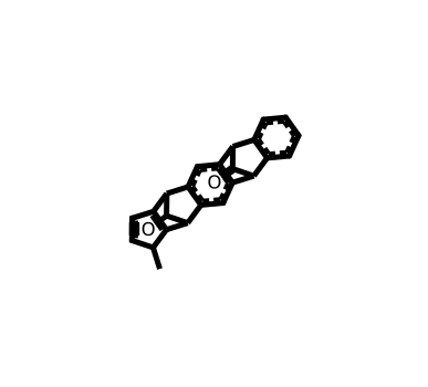 CC1C=CC2=C1C1c3cc4c(cc3C2C1O)C1C(=O)C4c2ccccc21